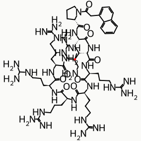 N=C(N)NCCC[C@H](NC(=O)[C@H](CCCNC(N)N)NC(=O)[C@H](CCCNC(=N)N)NC(=O)[C@H](CCCNC(=N)N)NC(=O)[C@H](CCCNC(=N)N)NC(=O)[C@H](CCCNC(=N)N)NC(=O)[C@H](CCCCN)NC(=O)[C@@H]1CCCN1C(=O)Cc1cccc2ccccc12)C(N)=O